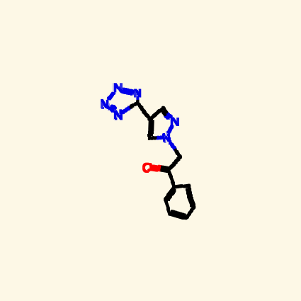 O=C(Cn1cc(C2N=NN=N2)cn1)c1ccccc1